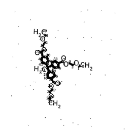 C=COCCOC(=O)c1ccc(C(C)(c2ccc(C(=O)OCCOC=C)cc2)c2ccc(C(=O)OCCOC=C)cc2)cc1